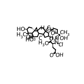 CC(C)(O)[C@@H]1CC[C@](C)([C@H]2[C@@H](OC(=O)[C@H](CCC(=O)O)NCl)C[C@@]3(C)C4C[C@H](O)[C@H]5C(C)(C)[C@@H](O)CC[C@@]56CC46CC[C@]23C)O1